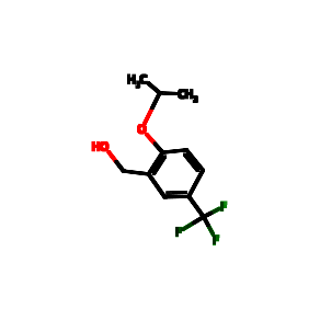 CC(C)Oc1ccc(C(F)(F)F)cc1CO